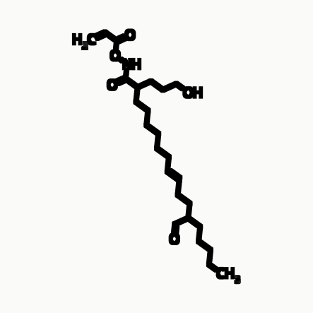 C=CC(=O)ONC(=O)C(CCCO)CCCCCCC=CCCC(C=O)CCCCC